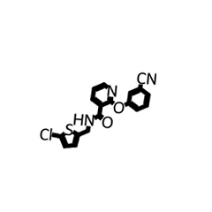 N#Cc1cccc(Oc2ncccc2C(=O)NCc2ccc(Cl)s2)c1